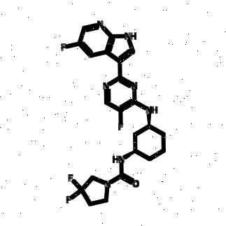 O=C(N[C@@H]1CCC[C@H](Nc2nc(-c3c[nH]c4ncc(F)cc34)ncc2F)C1)N1CCC(F)(F)C1